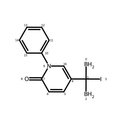 BC(B)(I)c1ccc(=O)n(-c2ccccc2)c1